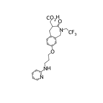 O=C(O)CC1Cc2ccc(OCCCNc3ccccn3)cc2CN(CC(F)(F)F)C1=O